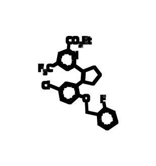 CCOC(=O)c1cc(C(F)(F)F)cc(C2=C(c3cc(Cl)ccc3OCc3ccccc3F)CCC2)n1